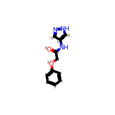 O=C(COc1ccccc1)Nc1cn[nH]c1